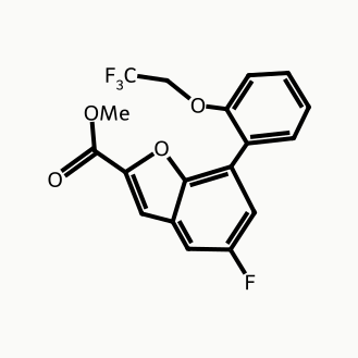 COC(=O)c1cc2cc(F)cc(-c3ccccc3OCC(F)(F)F)c2o1